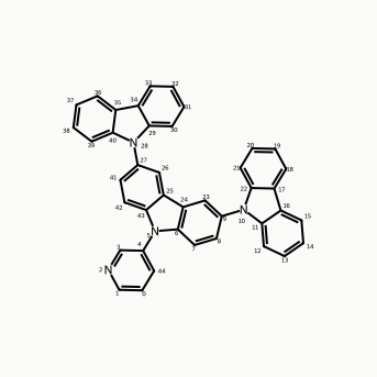 c1cncc(-n2c3ccc(-n4c5ccccc5c5ccccc54)cc3c3cc(-n4c5ccccc5c5ccccc54)ccc32)c1